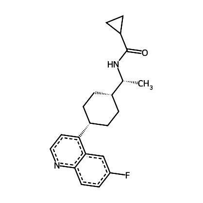 C[C@@H](NC(=O)C1CC1)[C@H]1CC[C@@H](c2ccnc3ccc(F)cc32)CC1